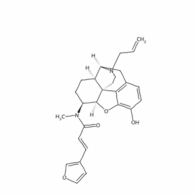 C=CCN1CC[C@]23c4c5ccc(O)c4O[C@H]2[C@@H](N(C)C(=O)/C=C/c2ccoc2)CC[C@H]3[C@H]1C5